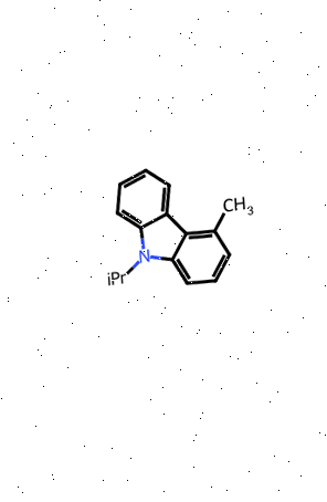 Cc1cccc2c1c1ccccc1n2C(C)C